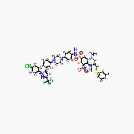 CN(C)CC[C@H](CSc1ccccc1)Nc1ccc(S(=O)(=O)Nc2ccc(N3CCN(c4cccc(-c5cc(C(F)(F)F)nn5-c5ccc(Cl)cc5)c4)CC3)cc2)cc1[N+](=O)[O-]